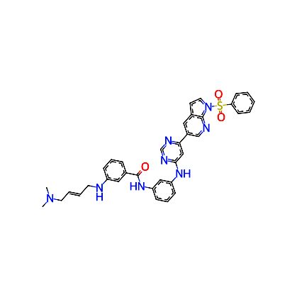 CN(C)C/C=C/CNc1cccc(C(=O)Nc2cccc(Nc3cc(-c4cnc5c(ccn5S(=O)(=O)c5ccccc5)c4)ncn3)c2)c1